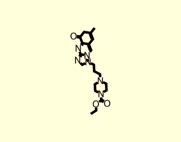 CCOC(=O)N1CCN(CCCN2CN=C3N=C4C(=O)CC(C)=CC4=CN32)CC1